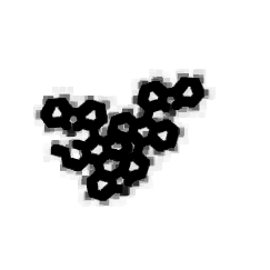 C=C/C=C\c1c(C)c(-c2cccc3c2sc2ccccc23)c2ccccc2c1-c1cccc2sc3ccc(-c4c5ccccc5c(-c5cccc6c5sc5ccccc56)c5ccccc45)cc3c12